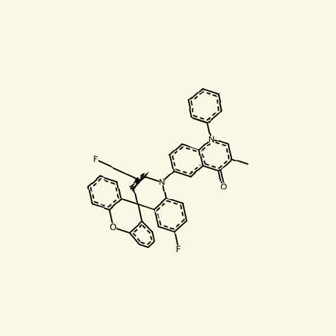 Cc1cn(-c2ccccc2)c2ccc(N3c4ccc(F)cc4C4(c5ccccc5Oc5ccccc54)c4cc(F)ccc43)cc2c1=O